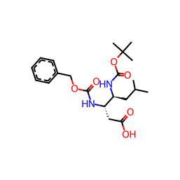 CC(C)C[C@H](NC(=O)OC(C)(C)C)[C@H](CC(=O)O)NC(=O)OCc1ccccc1